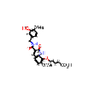 COc1ccc(CNC(=O)c2cc3ccc(OC)c(OCCCCC(=O)O)c3[nH]c2=O)cc1O